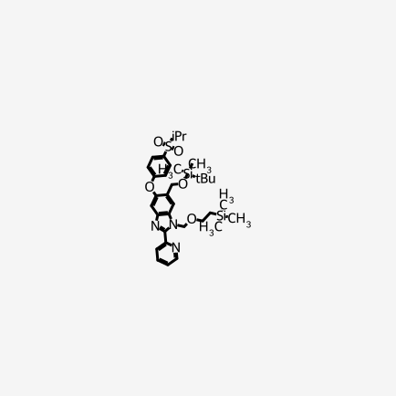 CC(C)S(=O)(=O)c1ccc(Oc2cc3nc(-c4ccccn4)n(COCC[Si](C)(C)C)c3cc2CO[Si](C)(C)C(C)(C)C)cc1